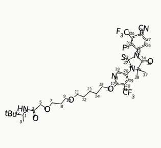 CC(NC(=O)COCCCOCCCCCOc1ncc(N2C(=S)N(c3ccc(C#N)c(C(F)(F)F)c3F)C(=O)C2(C)C)cc1C(F)(F)F)C(C)(C)C